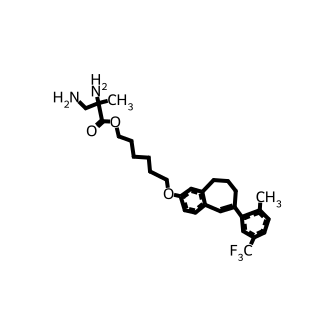 Cc1ccc(C(F)(F)F)cc1C1=Cc2ccc(OCCCCCCOC(=O)C(C)(N)CN)cc2CCC1